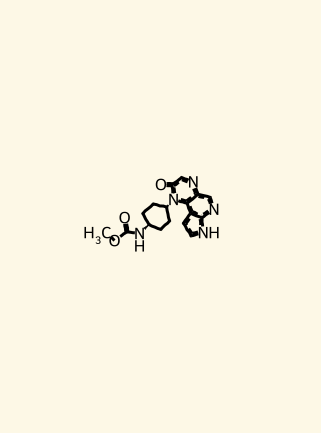 COC(=O)N[C@H]1CC[C@H](n2c(=O)cnc3cnc4[nH]ccc4c32)CC1